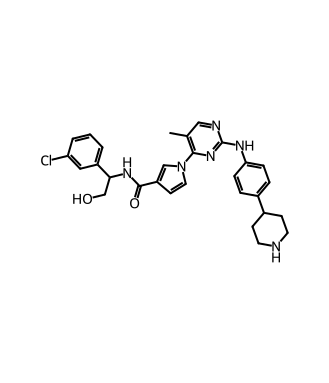 Cc1cnc(Nc2ccc(C3CCNCC3)cc2)nc1-n1ccc(C(=O)NC(CO)c2cccc(Cl)c2)c1